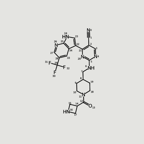 N#Cc1cnc(NCC2CCN(C(=O)C3CNC3)CC2)nc1-c1c[nH]c2ncc(C(F)(F)F)cc12